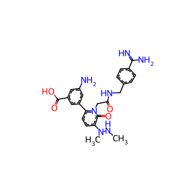 CNN(C)c1ccc(-c2cc(N)cc(C(=O)O)c2)n(CC(=O)NCc2ccc(C(=N)N)cc2)c1=O